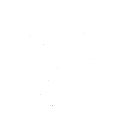 CCCC[C@H](NC(=O)c1sc(-c2ccc(OC)cc2)cc1NC(=O)Nc1c(C)cc(C)cc1C)C(=O)O